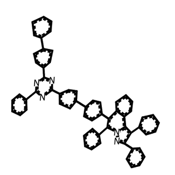 c1ccc(-c2ccc(-c3nc(-c4ccccc4)nc(-c4ccc(-c5ccc(-c6c(-c7ccccc7)n7nc(-c8ccccc8)c(-c8ccccc8)c7c7ccccc67)cc5)cc4)n3)cc2)cc1